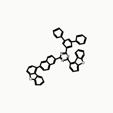 c1ccc(-c2cc(-c3ccccc3)cc(-c3nc(-c4ccc5cc(-c6cccc7oc8ccccc8c67)ccc5c4)nc(-c4cccc5oc6ccccc6c45)n3)c2)cc1